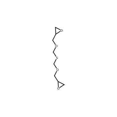 C(OCC1CO1)SCOCC1CO1